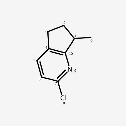 CC1CCc2ccc(Cl)nc21